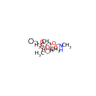 CNCC(=O)O[C@@H]1C[C@]2(C(C)C)O[C@@]1(C)[C@@H]1CC[C@@H](C)[C@H]1[C@@H]2OC(=O)/C=C/c1ccccc1